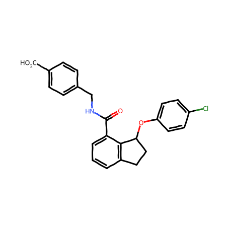 O=C(O)c1ccc(CNC(=O)c2cccc3c2C(Oc2ccc(Cl)cc2)CC3)cc1